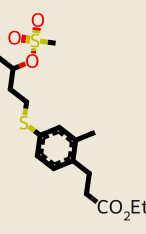 CCOC(=O)CCc1ccc(SCCC(C)OS(C)(=O)=O)cc1C